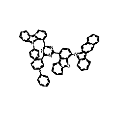 c1ccc(-c2cccc(-c3nc(-c4ccc(-n5c6ccccc6c6cc7ccccc7cc65)c5oc6ccccc6c45)nc(-c4cccc5c6ccccc6n(-c6ccccc6)c45)n3)c2)cc1